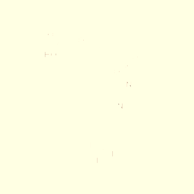 C=CC(N1CCN(c2ccc(C(F)(F)F)cc2)CC1)S(=O)(=O)c1cccc(COC(C)(C)C(=O)O)c1